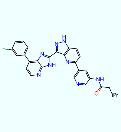 CC(C)CC(=O)Nc1cncc(-c2ccc3[nH]nc(-c4nc5c(-c6cccc(F)c6)ccnc5[nH]4)c3n2)c1